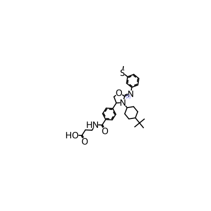 CSc1cccc(/N=C2\OCC(c3ccc(C(=O)NCCC(=O)O)cc3)N2C2CCC(C(C)(C)C)CC2)c1